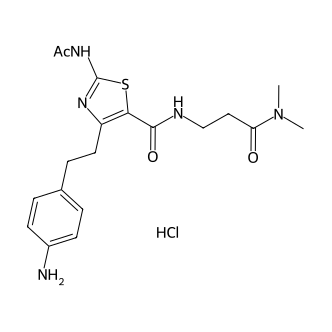 CC(=O)Nc1nc(CCc2ccc(N)cc2)c(C(=O)NCCC(=O)N(C)C)s1.Cl